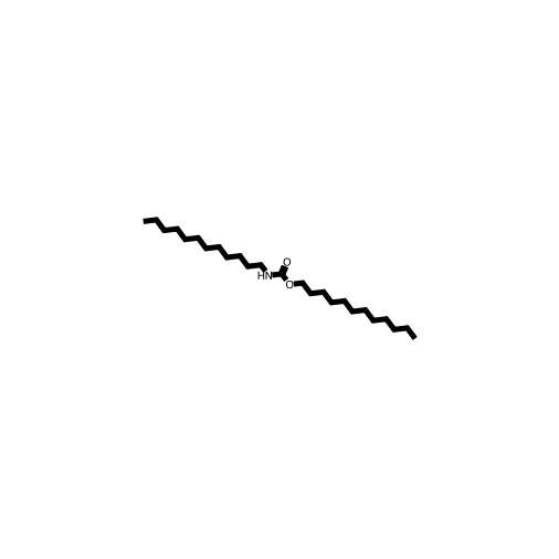 CCCCCCCCCCCCNC(=O)OCCCCCCCCCCCC